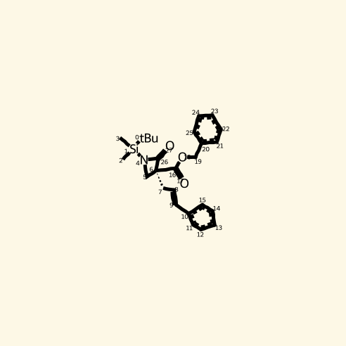 CC(C)(C)[Si](C)(C)N1C[C@](CC=Cc2ccccc2)(C(=O)OCc2ccccc2)C1=O